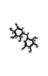 Cc1cc(Cc2cc(C)c(C)c(C)c2C)c(C)c(C)c1C